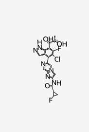 C[C@@H](O)[C@@H](O)c1c(F)c(Cl)c(-c2cn3cc(NC(=O)C4CC4F)nc3cn2)c2cn[nH]c12